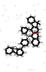 CC1(C)c2ccccc2-c2c(-c3ccccc3N(c3ccc(-c4cccc5c4oc4ccccc45)cc3)c3cccc4ccccc34)cccc21